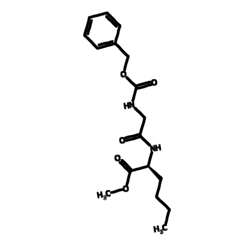 CCCC[C@H](NC(=O)CNC(=O)OCc1ccccc1)C(=O)OC